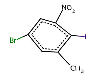 Cc1cc(Br)cc([N+](=O)[O-])c1I